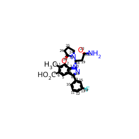 Cc1cc2c(cc1C(=O)O)c(-c1cccc(F)c1)nn2C(CC(N)=O)N1CCCC1=O